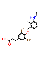 CCNc1cccc(COc2c(Br)cc(CCC(=O)O)cc2Br)c1C